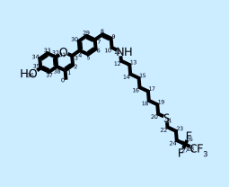 CC1=CC(c2ccc(/C=C\CNCCCCCCCCCSCCCC(F)(F)C(F)(F)F)cc2)Oc2ccc(O)cc21